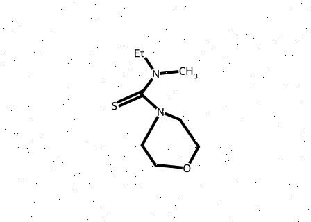 CCN(C)C(=S)N1CCOCC1